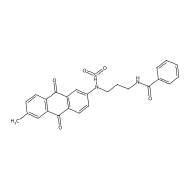 Cc1ccc2c(c1)C(=O)c1ccc(N(CCCNC(=O)c3ccccc3)[SH](=O)=O)cc1C2=O